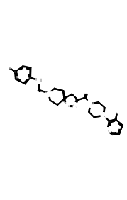 O=C(Nc1ccc(Cl)cc1)N1CCC2(CC1)CC(C(=O)N1CCN(c3ncccc3Cl)CC1)=NO2